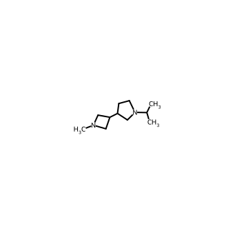 CC(C)N1CCC(C2CN(C)C2)C1